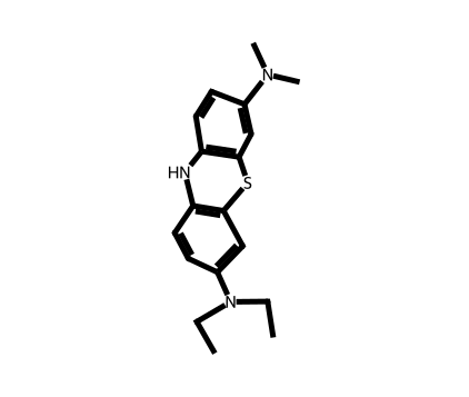 CCN(CC)c1ccc2c(c1)Sc1cc(N(C)C)ccc1N2